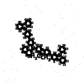 CC1(C)c2cc(-c3ccc4c5ccccc5n(-c5ccccc5)c4c3)ccc2-c2ccc(N(c3ccc(-c4ccc(-n5c6ccccc6c6ccccc65)cc4)cc3)c3cccc4ccccc34)cc21